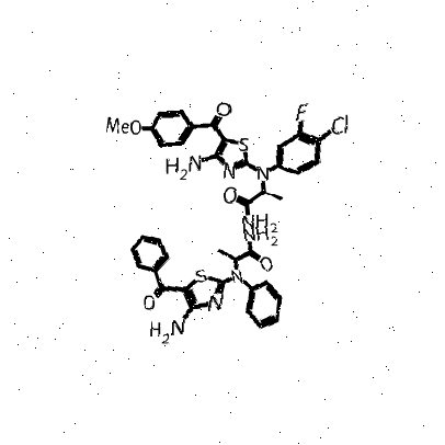 CC(C(N)=O)N(c1ccccc1)c1nc(N)c(C(=O)c2ccccc2)s1.COc1ccc(C(=O)c2sc(N(c3ccc(Cl)c(F)c3)[C@@H](C)C(N)=O)nc2N)cc1